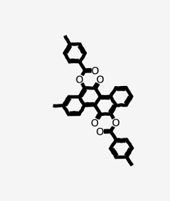 Cc1ccc(C(=O)OC2=c3ccccc3=C3C(=O)C(OC(=O)c4ccc(C)cc4)=c4cc(C)ccc4=C3C2=O)cc1